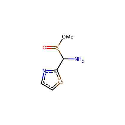 COS(=O)C(N)c1nccs1